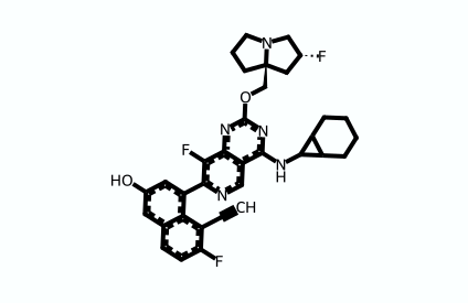 C#Cc1c(F)ccc2cc(O)cc(-c3ncc4c(NC5C6CCCCC65)nc(OC[C@@]56CCCN5C[C@H](F)C6)nc4c3F)c12